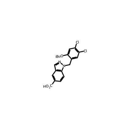 CC(C)COc1cc(Cl)c(Cl)cc1Cn1ncc2cc(C(=O)O)ccc21